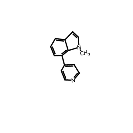 Cn1ccc2cccc(-c3ccncc3)c21